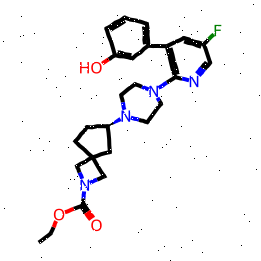 CCOC(=O)N1CC2(CC[C@@H](N3CCN(c4ncc(F)cc4-c4cccc(O)c4)CC3)C2)C1